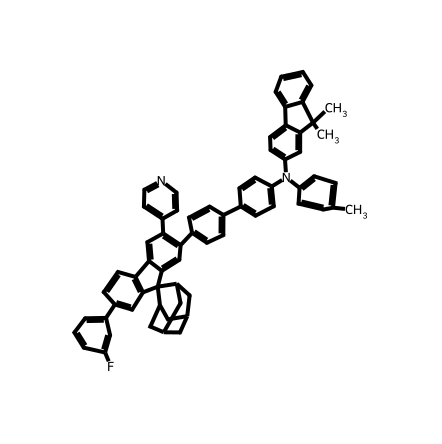 Cc1ccc(N(c2ccc(-c3ccc(-c4cc5c(cc4-c4ccncc4)-c4ccc(-c6cccc(F)c6)cc4C54C5CC6CC(C5)CC4C6)cc3)cc2)c2ccc3c(c2)C(C)(C)c2ccccc2-3)cc1